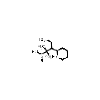 CC(C(=O)O)(C(CC(=O)O)C1CCCCO1)[PH](=O)O